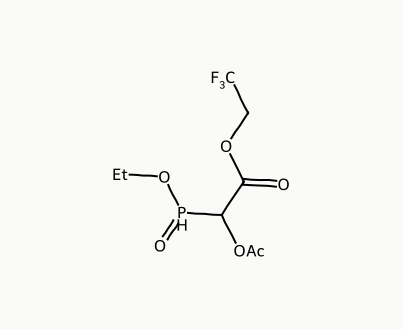 CCO[PH](=O)C(OC(C)=O)C(=O)OCC(F)(F)F